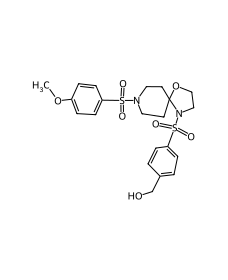 COc1ccc(S(=O)(=O)N2CCC3(CC2)OCCN3S(=O)(=O)c2ccc(CO)cc2)cc1